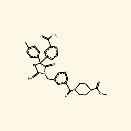 COC(=O)N1CCN(C(=O)c2cccc(CN3C(=N)N[C@](c4ccc(F)cc4)(c4cccc(C(N)=O)c4)C3=O)c2)CC1